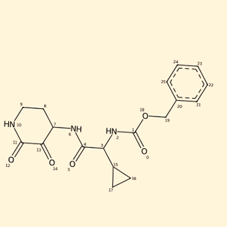 O=C(NC(C(=O)NC1CCNC(=O)C1=O)C1CC1)OCc1ccccc1